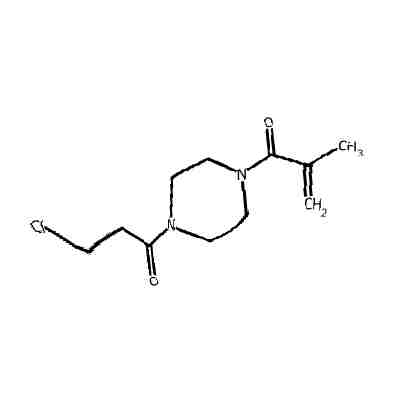 C=C(C)C(=O)N1CCN(C(=O)CCCl)CC1